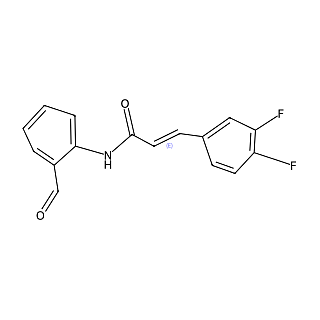 O=Cc1ccccc1NC(=O)/C=C/c1ccc(F)c(F)c1